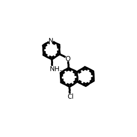 Nc1ccncc1Oc1ccc(Cl)c2ccccc12